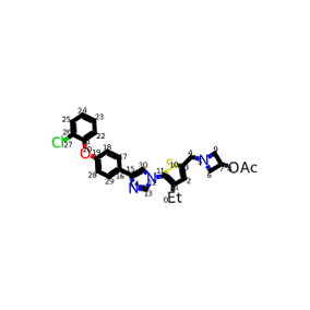 CCc1cc(CN2CC(OC(C)=O)C2)sc1-n1cnc(-c2ccc(Oc3ccccc3Cl)cc2)c1